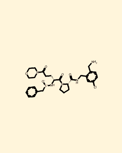 NCc1ccc(Cl)cc1CNC(=O)[C@@H]1CCCN1C(=O)[C@@H](CCC(=O)N1CCOCC1)N[S+]([O-])Cc1ccccc1